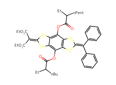 CCCCCC(CC)C(=O)Oc1c2c(c(OC(=O)C(CC)CCCC)c3c1SC(=C(c1ccccc1)c1ccccc1)S3)SC(=C(C(=O)OCC)C(=O)OCC)S2